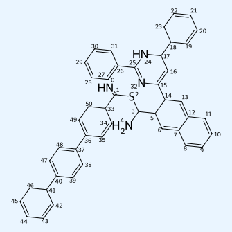 N=C(SC(N)C1C=c2ccccc2=CC1C1=CC(C2C=CC=CC2)NC(c2ccccc2)=N1)C1C=CC(c2ccc(C3C=CC=CC3)cc2)=CC1